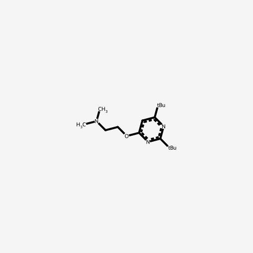 CN(C)CCOc1cc(C(C)(C)C)nc(C(C)(C)C)n1